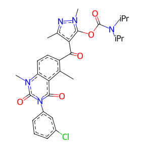 Cc1nn(C)c(OC(=O)N(C(C)C)C(C)C)c1C(=O)c1ccc2c(c1C)c(=O)n(-c1cccc(Cl)c1)c(=O)n2C